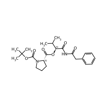 CC(C)[C@H](OC(=O)[C@@H]1CCCN1C(=O)OC(C)(C)C)C(=O)NC(=O)Cc1ccccc1